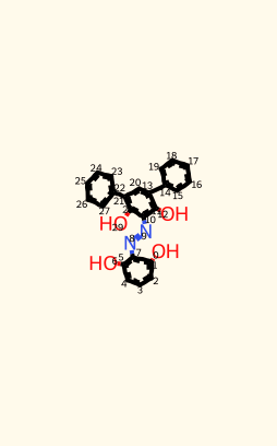 Oc1cccc(O)c1N=Nc1c(O)c(-c2ccccc2)cc(-c2ccccc2)c1O